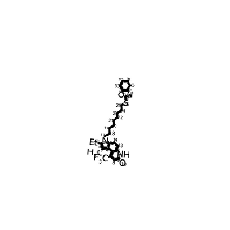 CCc1c(C)c2c3c(C(F)(F)F)cc(=O)[nH]c3ccc2n1CCCCCCCCCSc1nc2ccccc2o1